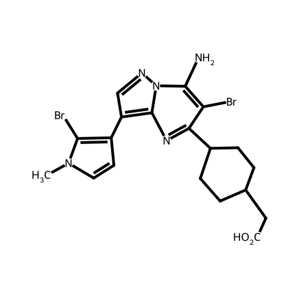 Cn1ccc(-c2cnn3c(N)c(Br)c(C4CCC(CC(=O)O)CC4)nc23)c1Br